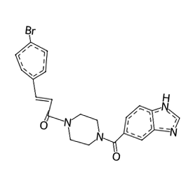 O=C(/C=C/c1ccc(Br)cc1)N1CCN(C(=O)c2ccc3[nH]cnc3c2)CC1